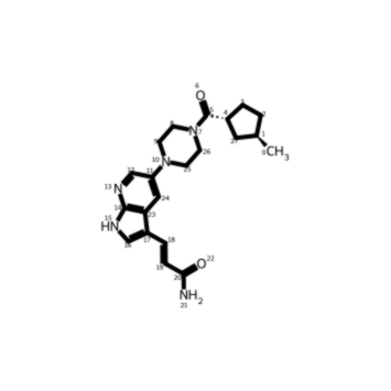 C[C@@H]1CC[C@@H](C(=O)N2CCN(c3cnc4[nH]cc(/C=C/C(N)=O)c4c3)CC2)C1